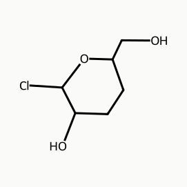 OCC1CCC(O)C(Cl)O1